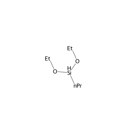 [CH2]CC[SiH](OCC)OCC